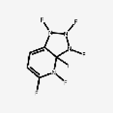 FC1=CC=C2N(F)N(F)N(F)C2(F)N1F